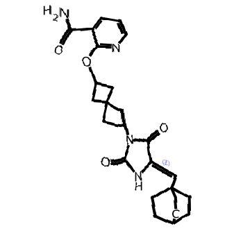 NC(=O)c1cccnc1OC1CC2(C1)CC(N1C(=O)N/C(=C\C34CCC(CC3)CC4)C1=O)C2